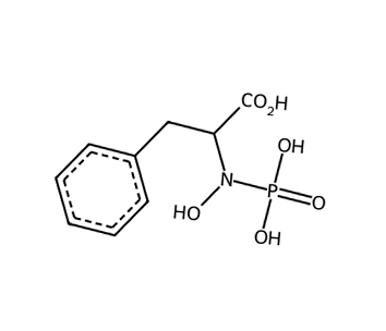 O=C(O)C(Cc1ccccc1)N(O)P(=O)(O)O